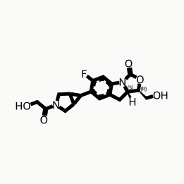 O=C(CO)N1CC2C(C1)C2c1cc2c(cc1F)N1C(=O)O[C@@H](CO)[C@@H]1C2